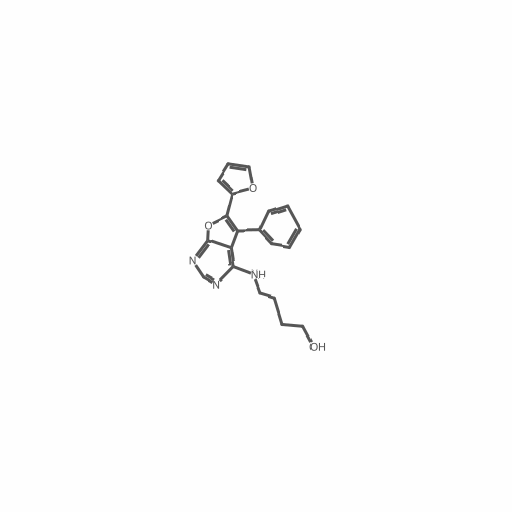 OCCCCNc1ncnc2oc(-c3ccco3)c(-c3ccccc3)c12